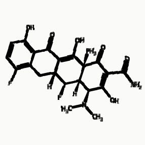 CN(C)[C@@H]1C(O)=C(C(N)=O)C(=O)[C@@]2(P)C(O)=C3C(=O)c4c(O)ccc(F)c4C[C@H]3[C@H](F)[C@@H]12